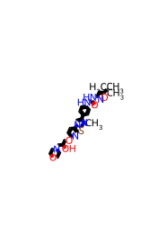 CN1C(c2ccc(NC(=O)Nc3cc(C(C)(C)C)on3)cc2)=CN2c3ccc(OCC(O)CN4CCOCC4)nc3SC12